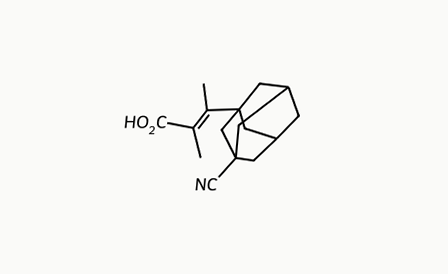 CC(C(=O)O)=C(C)C12CC3CC(CC(C#N)(C3)C1)C2